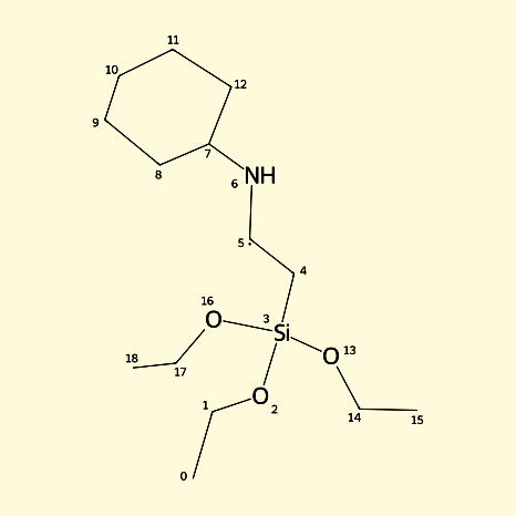 CCO[Si](C[CH]NC1CCCCC1)(OCC)OCC